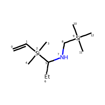 C=C[Si](C)(C)C(CC)NC[Si](C)(C)C